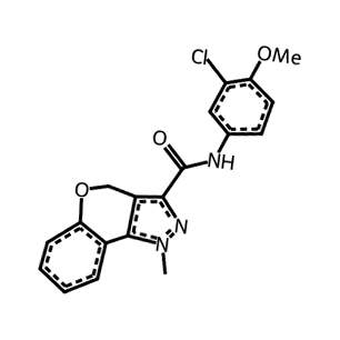 COc1ccc(NC(=O)c2nn(C)c3c2COc2ccccc2-3)cc1Cl